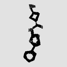 CN[C@H]1C[C@H](C(=O)Nc2ncc(-c3ccccc3)s2)C1